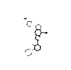 Cc1c(-c2cc3cc4c(c(C#N)c3o2)CC[C@H]4N2CC[C@@H](C(=O)O)C2)cccc1N1CCOCC1